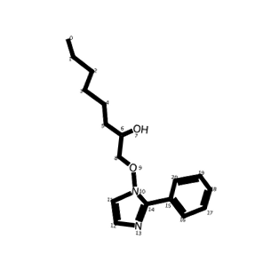 CCCCCCC(O)COn1ccnc1-c1ccccc1